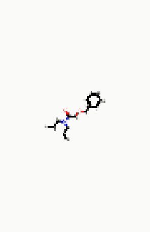 CCCN(CCC)C(=O)COCc1ccccc1